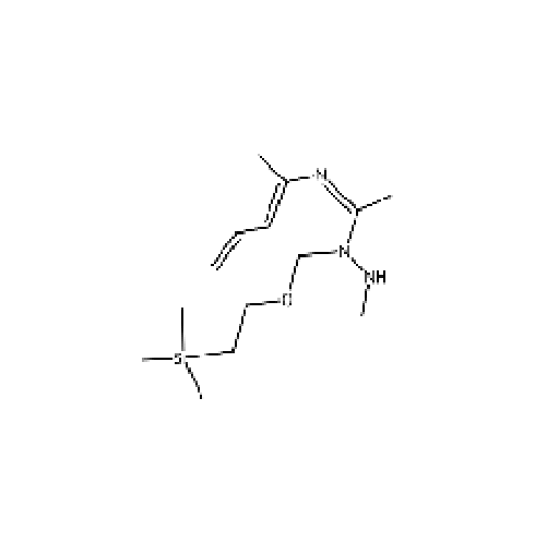 C=CC=C(C)/N=C(/C)N(COCC[Si](C)(C)C)NC